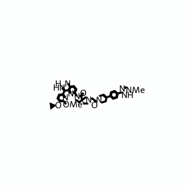 CN/C=N\C(=N)c1ccc(C2=CCN(C(=O)CN3CC[C@]4(CCN(c5ccc(N)c(C(=N)c6ccc(OC7CC7)c(OC)n6)n5)C4=O)C3)CC2)cc1